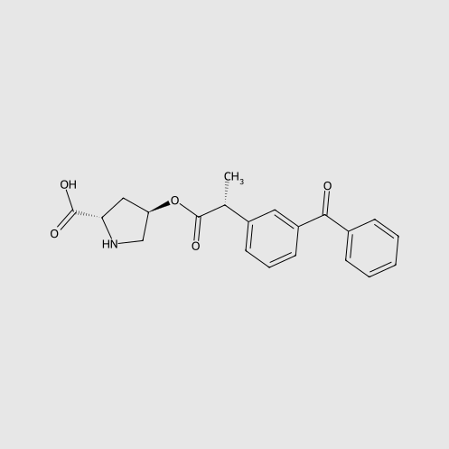 C[C@@H](C(=O)O[C@H]1CN[C@H](C(=O)O)C1)c1cccc(C(=O)c2ccccc2)c1